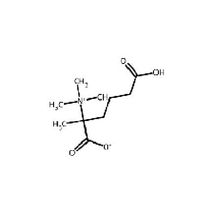 CC(CCCC(=O)O)(C(=O)[O-])[N+](C)(C)C